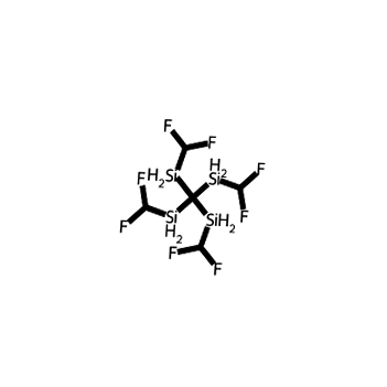 FC(F)[SiH2]C([SiH2]C(F)F)([SiH2]C(F)F)[SiH2]C(F)F